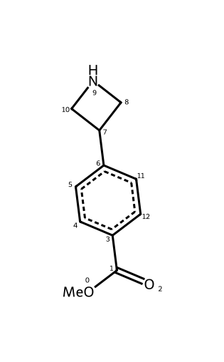 COC(=O)c1ccc(C2CNC2)cc1